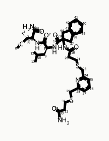 CC[C@H](C)[C@H](NC(=O)[C@H](CC(C)C)NC(=O)C1(NC(=O)CCSCc2cccc(CSCCC(N)=O)n2)Cc2ccccc2C1)C(N)=O